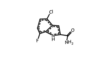 NC(=O)c1cc2c(Cl)ccc(F)c2[nH]1